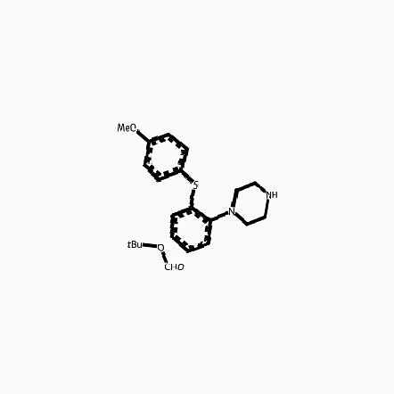 CC(C)(C)OC=O.COc1ccc(Sc2ccccc2N2CCNCC2)cc1